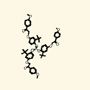 COc1ccc(C(=O)COc2ccc(OP(Oc3ccc(OCC(=O)c4ccc(OC)cc4)cc3C(C)(C)C)Oc3ccc(OCC(=O)c4ccc(OC)cc4)cc3C(C)(C)C)c(C(C)(C)C)c2)cc1